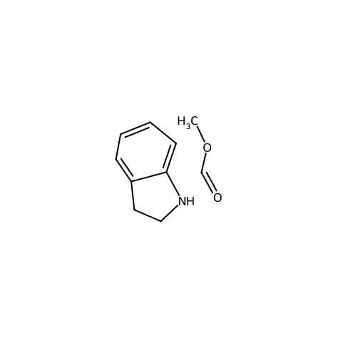 COC=O.c1ccc2c(c1)CCN2